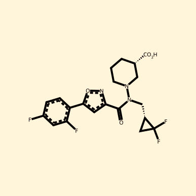 O=C(O)[C@H]1CCCN(N(C[C@H]2CC2(F)F)C(=O)c2cc(-c3ccc(F)cc3F)on2)C1